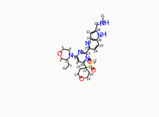 CC[C@H]1COCCN1c1cc(C2(S(C)(=O)=O)CCOCC2)nc(-c2ccc3[nH]c(CNC)cc3n2)n1